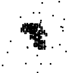 Cc1cc(NC(=O)O)cc(F)c1B1OC(C)(C)C(C)(C)O1